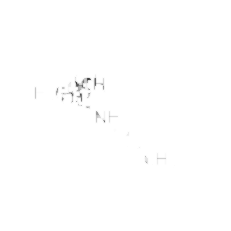 CCCCCCCCNCCC[Si](OC)(OC)OC